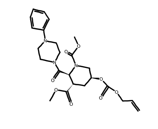 C=CCOC(=O)O[C@H]1C[C@H](C(=O)OC)[C@@H](C(=O)N2CCN(c3ccccc3)CC2)N(C(=O)OC)C1